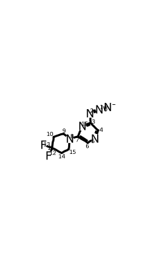 [N-]=[N+]=Nc1cncc(N2CCC(F)(F)CC2)n1